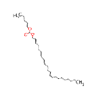 CCCCCCCC/C=C\CCCCCCCCCCCCOC(=O)OCCCCC